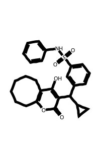 O=c1oc2c(c(O)c1C(c1cccc(S(=O)(=O)Nc3ccccc3)c1)C1CC1)CCCCCC2